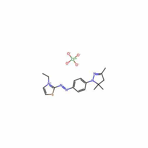 CC[n+]1ccsc1N=Nc1ccc(N2N=C(C)CC2(C)C)cc1.[O-][Cl+3]([O-])([O-])[O-]